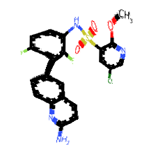 COc1ncc(Cl)cc1S(=O)(=O)Nc1ccc(F)c(-c2ccc3nc(N)ccc3c2)c1F